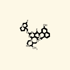 C#Cc1cccc2cc(O)cc(-c3nc4c5c(nc(OCC67CCCN6CC(F)C7)nc5c3F)N3CCNC(C)C3CO4)c12